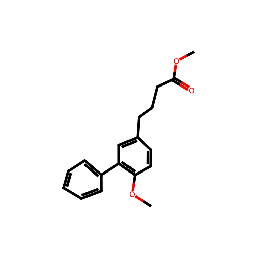 COC(=O)CCCc1ccc(OC)c(-c2ccccc2)c1